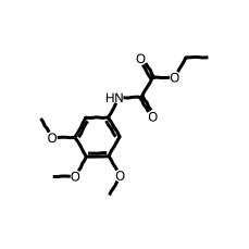 CCOC(=O)C(=O)Nc1cc(OC)c(OC)c(OC)c1